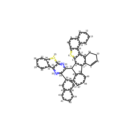 C1=Cc2c3c(c4sc5ccc6ccccc6c5c4c2CC1)C(c1nc2sc4ccccc4c2nc1-c1ccc2ccccc2c1)c1ccccc1-3